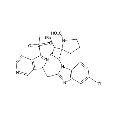 CC(C)(C)C1OC(n2c(Cn3nc(S(C)(=O)=O)c4ccncc43)nc3cc(Cl)ccc32)C12CCCN2C(=O)O